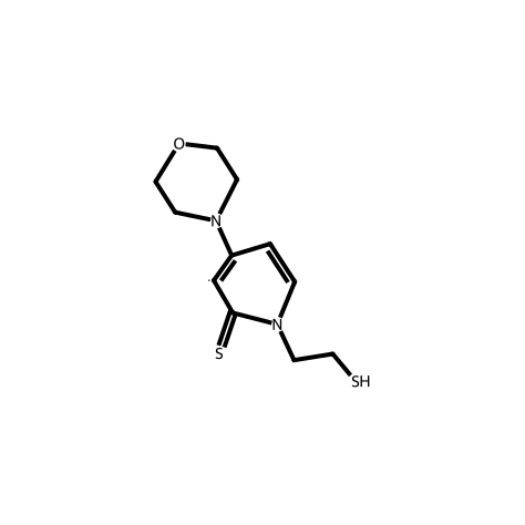 S=c1[c]c(N2CCOCC2)ccn1CCS